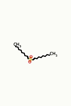 CCCCCCCCC=CS(=O)(=O)C=CCCCCCCCC